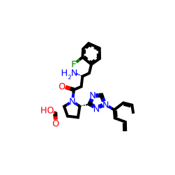 C=C/C=C(\C=C/C)n1cnc([C@@H]2CCCN2C(=O)C[C@H](N)Cc2ccccc2F)n1.O=CO